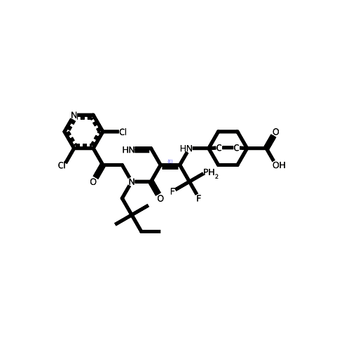 CCC(C)(C)CN(CC(=O)c1c(Cl)cncc1Cl)C(=O)/C(C=N)=C(/NC12CCC(C(=O)O)(CC1)CC2)C(F)(F)P